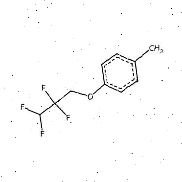 Cc1ccc(OCC(F)(F)C(F)F)cc1